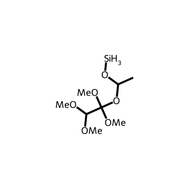 COC(OC)C(OC)(OC)OC(C)O[SiH3]